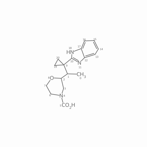 CC(C1CN(C(=O)O)CCO1)C1(c2nc3ccccc3[nH]2)CC1